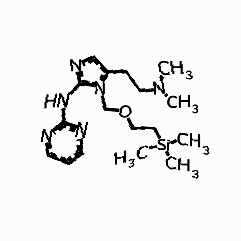 CN(C)CCc1cnc(Nc2ncccn2)n1COCC[Si](C)(C)C